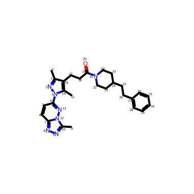 Cc1nn(-c2ccc3nnc(C)n3n2)c(C)c1CCC(=O)N1CCC(CCc2ccccc2)CC1